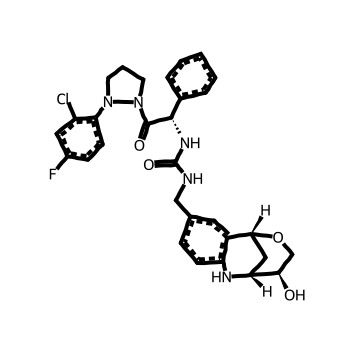 O=C(NCc1ccc2c(c1)[C@H]1C[C@@H](N2)[C@H](O)CO1)N[C@H](C(=O)N1CCCN1c1ccc(F)cc1Cl)c1ccccc1